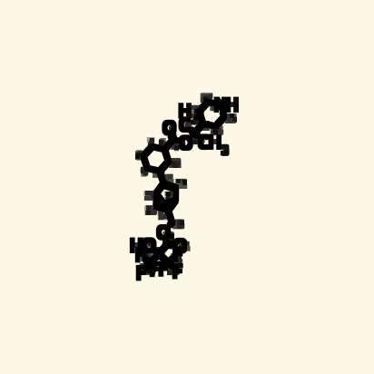 CC(C)(OC(=O)C1CCCC(C2=CC3CC2CC3COC(=O)C(O)(C(F)(F)F)C(F)(F)F)C1)C1CCNCC1